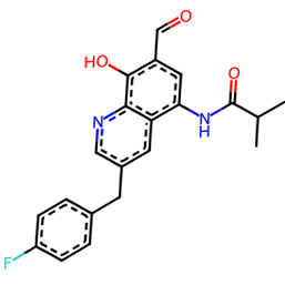 CC(C)C(=O)Nc1cc(C=O)c(O)c2ncc(Cc3ccc(F)cc3)cc12